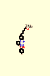 COC(=O)CCCCCc1ccc(Nc2ccccc2NS(=O)(=O)c2ccc(C)cc2)cc1